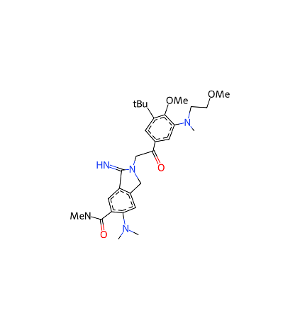 CNC(=O)c1cc2c(cc1N(C)C)CN(CC(=O)c1cc(N(C)CCOC)c(OC)c(C(C)(C)C)c1)C2=N